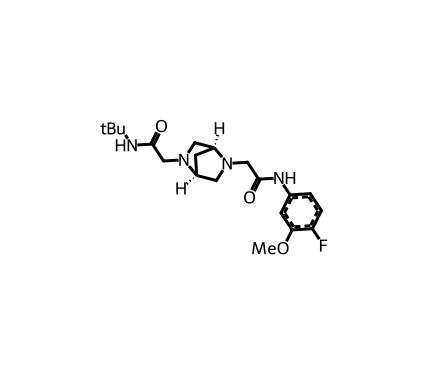 COc1cc(NC(=O)CN2C[C@@H]3C[C@H]2CN3CC(=O)NC(C)(C)C)ccc1F